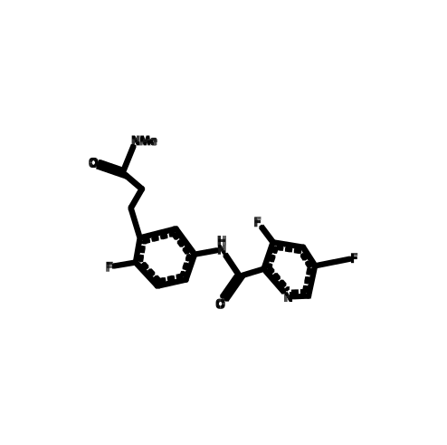 CNC(=O)CCc1cc(NC(=O)c2ncc(F)cc2F)ccc1F